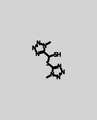 Cn1nnnc1SC(S)c1nnnn1C